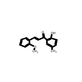 COc1ccccc1/C=C/C(=O)c1cc(C)ccc1O